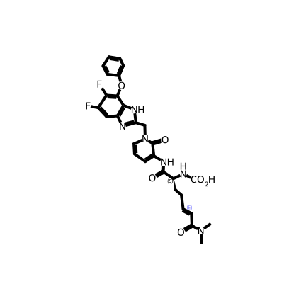 CN(C)C(=O)/C=C/CC[C@H](NC(=O)O)C(=O)Nc1cccn(Cc2nc3cc(F)c(F)c(Oc4ccccc4)c3[nH]2)c1=O